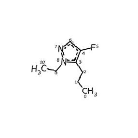 CCCc1c(F)[c]nn1CC